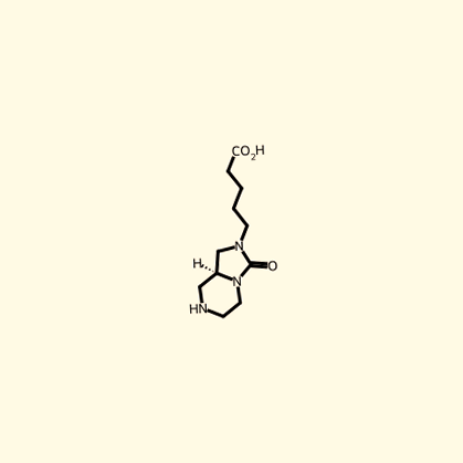 O=C(O)CCCCN1C[C@@H]2CNCCN2C1=O